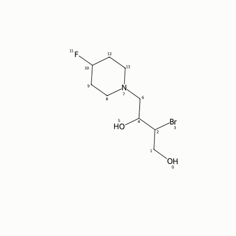 OCC(Br)C(O)CN1CCC(F)CC1